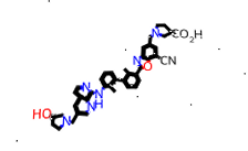 Cc1c(Nc2nccc3cc(CN4CC[C@@H](O)C4)cnc23)cccc1-c1cccc(-c2nc3cc(CN4CC[C@H](C(=O)O)C4)cc(C#N)c3o2)c1C